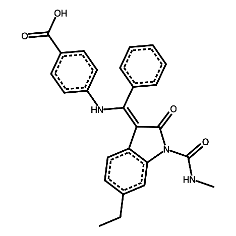 CCc1ccc2c(c1)N(C(=O)NC)C(=O)C2=C(Nc1ccc(C(=O)O)cc1)c1ccccc1